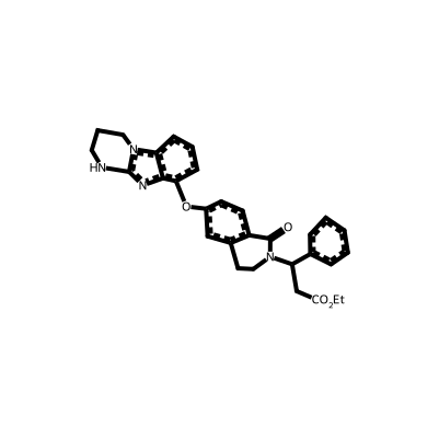 CCOC(=O)CC(c1ccccc1)N1CCc2cc(Oc3cccc4c3nc3n4CCCN3)ccc2C1=O